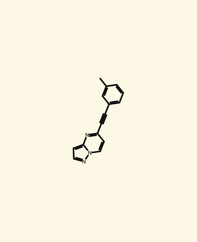 Cc1cccc(C#Cc2ccn3nccc3n2)c1